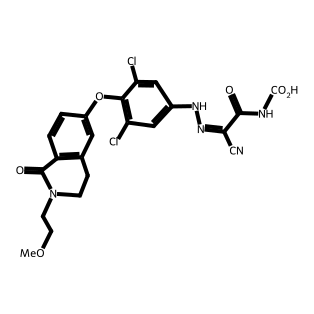 COCCN1CCc2cc(Oc3c(Cl)cc(NN=C(C#N)C(=O)NC(=O)O)cc3Cl)ccc2C1=O